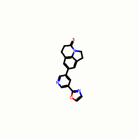 S=C1CCc2cc(-c3cncc(-c4ncco4)c3)cc3c2N1CC3